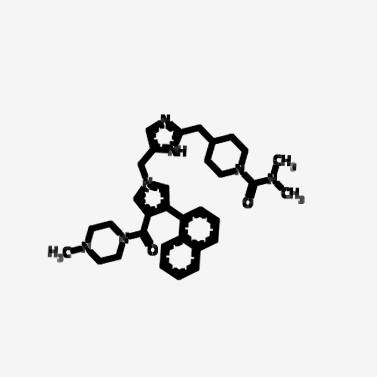 CN1CCN(C(=O)c2cn(Cc3cnc(CC4CCN(C(=O)N(C)C)CC4)[nH]3)cc2-c2cccc3ccccc23)CC1